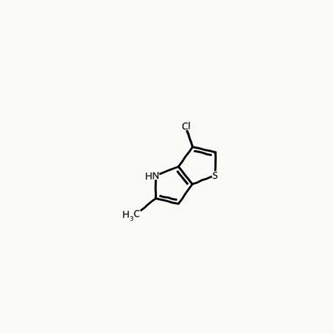 Cc1cc2scc(Cl)c2[nH]1